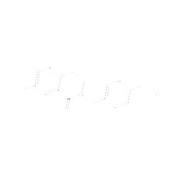 COc1ccc(Cn2ccc3cc(F)c(C)cc3c2=O)cc1